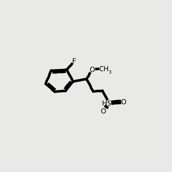 COC(CC[SH](=O)=O)c1ccccc1F